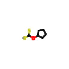 [S]C(=S)OC1CCCC1